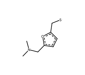 CN(C)Cc1ccc(C[S])o1